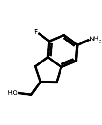 Nc1cc(F)c2c(c1)CC(CO)C2